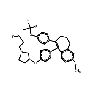 COc1ccc2c(c1)CCCC(c1ccc(OC(F)(F)F)cc1)=C2c1ccc(O[C@H]2CCN(CCCF)C2)cc1